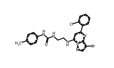 Cc1ccc(NC(=O)NCCNc2cc(-c3ccccc3Cl)nc3c(Br)cnn23)cc1